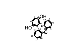 Oc1ccc(O)cc1.c1ccc(Oc2ccccc2)cc1